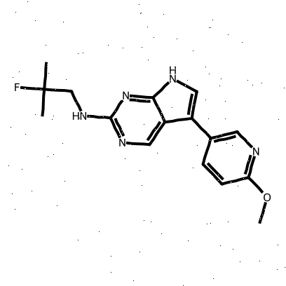 COc1ccc(-c2c[nH]c3nc(NCC(C)(C)F)ncc23)cn1